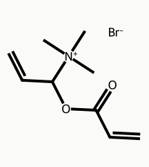 C=CC(=O)OC(C=C)[N+](C)(C)C.[Br-]